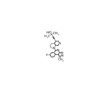 Cn1nnc2nc(N3CCCc4c(C#CC(C)(C)O)cncc43)c3cc(F)ccc3c21